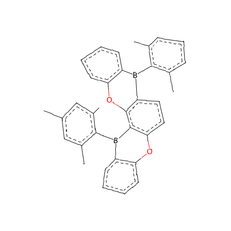 Cc1cc(C)c(B2c3ccccc3Oc3ccc4c(c32)Oc2ccccc2B4c2c(C)cccc2C)c(C)c1